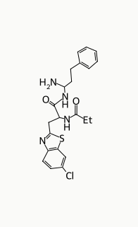 CCC(=O)NC(Cc1nc2ccc(Cl)cc2s1)C(=O)NC(N)CCc1ccccc1